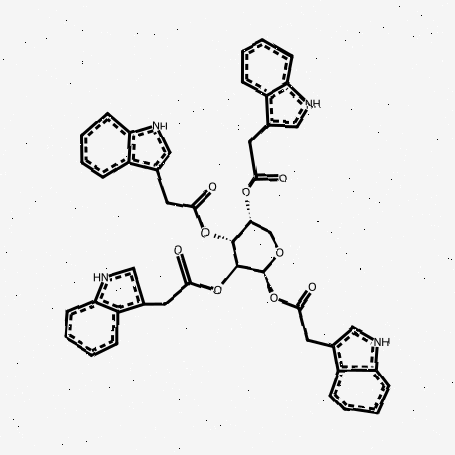 O=C(Cc1c[nH]c2ccccc12)OC1[C@H](OC(=O)Cc2c[nH]c3ccccc23)OC[C@@H](OC(=O)Cc2c[nH]c3ccccc23)[C@H]1OC(=O)Cc1c[nH]c2ccccc12